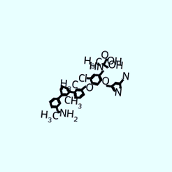 Cc1c(COc2cc(OCc3cncc(C#N)c3)c(CN[C@@](C)(CO)C(=O)O)cc2Cl)cccc1-c1cccc(-c2cccc(C(C)N)c2)c1C